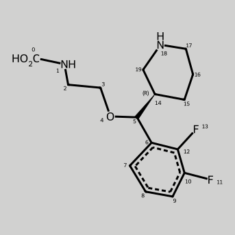 O=C(O)NCCOC(c1cccc(F)c1F)[C@@H]1CCCNC1